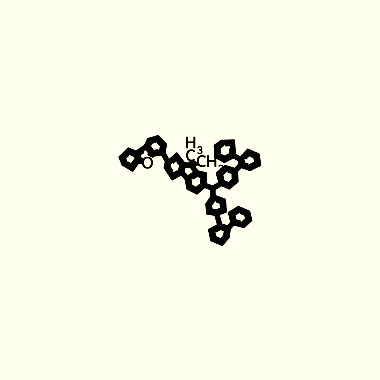 CC1(C)c2cc(-c3cccc4c3oc3ccccc34)ccc2-c2ccc(C(c3ccc(-c4ccccc4-c4ccccc4)cc3)c3ccc(-c4ccccc4-c4ccccc4)cc3)cc21